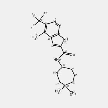 Cc1c(C(F)(F)F)ncc2[nH]c(C(=O)NC3CCC[Si](C)(C)CN3)cc12